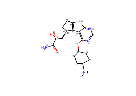 CNC1CCC(Oc2ncnc3sc4c(c23)[C@@H](CC(O)C(N)=O)CC4)CC1